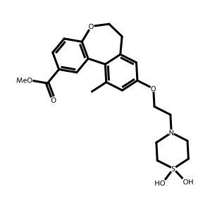 COC(=O)c1ccc2c(c1)-c1c(C)cc(OCCN3CCS(O)(O)CC3)cc1CCO2